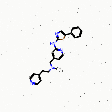 CN(CCc1ccncc1)Cc1ccnc(Nc2ncc(-c3ccccc3)s2)c1